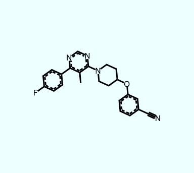 Cc1c(-c2ccc(F)cc2)ncnc1N1CCC(Oc2cccc(C#N)c2)CC1